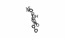 Cc1nc2cc(OC[C@H](O)CN3CCN(N(C=O)c4cccc(-c5ccccc5)c4)C[C@@H]3C)ccc2s1